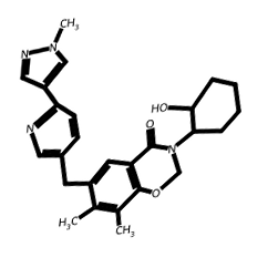 Cc1c(Cc2ccc(-c3cnn(C)c3)nc2)cc2c(c1C)OCN(C1CCCCC1O)C2=O